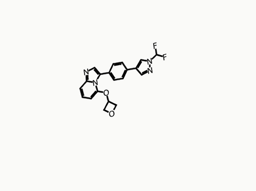 FC(F)n1cc(-c2ccc(-c3cnc4cccc(OC5COC5)n34)cc2)cn1